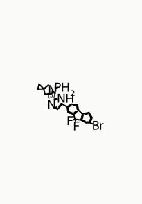 FC1(F)c2cc(Br)ccc2-c2ccc(-c3cnc([C@@H]4CC5(CC5)CN4P)[nH]3)cc21